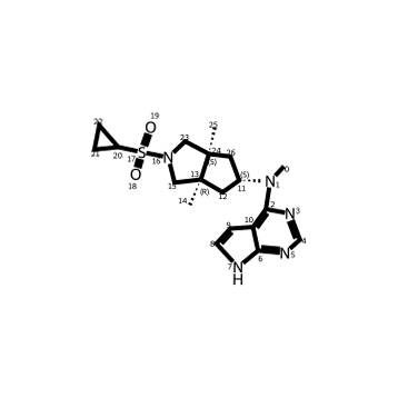 CN(c1ncnc2[nH]ccc12)[C@@H]1C[C@@]2(C)CN(S(=O)(=O)C3CC3)C[C@@]2(C)C1